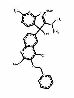 CN/C=C(\N(C)N)C(O)(c1ccc2nc(OC)c(OCc3ccccc3)c(Cl)c2c1)c1ccc(C)nc1C